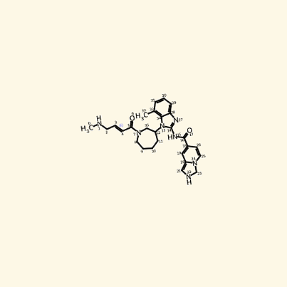 CNC/C=C/C(=O)N1CCCCC(n2c(NC(=O)C3=CC4=CNCN4C=C3)nc3cccc(C)c32)C1